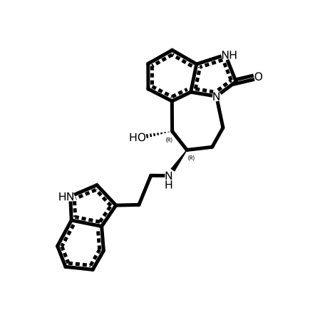 O=c1[nH]c2cccc3c2n1CC[C@@H](NCCc1c[nH]c2ccccc12)[C@@H]3O